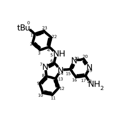 CC(C)(C)c1ccc(Nc2nc3ccccc3n2-c2cc(N)ncn2)cc1